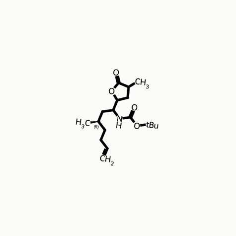 C=CCC[C@@H](C)CC(NC(=O)OC(C)(C)C)C1CC(C)C(=O)O1